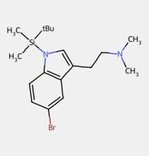 CN(C)CCc1cn([Si](C)(C)C(C)(C)C)c2ccc(Br)cc12